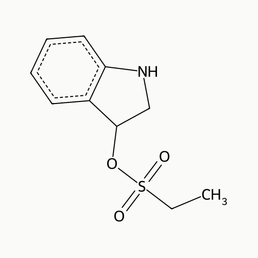 CCS(=O)(=O)OC1CNc2ccccc21